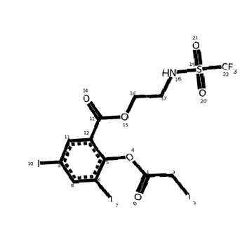 O=C(CI)Oc1c(I)cc(I)cc1C(=O)OCCNS(=O)(=O)C(F)(F)F